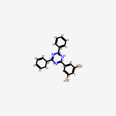 Brc1cc(Br)cc(-c2nc(-c3ccccc3)nc(C3C=CC=CC3)n2)c1